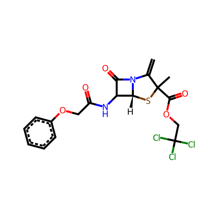 C=C1N2C(=O)C(NC(=O)COc3ccccc3)[C@H]2SC1(C)C(=O)OCC(Cl)(Cl)Cl